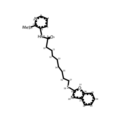 CSc1ncccc1NC(=O)CCCCCCCCSc1nc2ccccc2o1